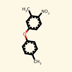 Cc1ccc(Oc2ccc([N+](=O)[O-])c(C)c2)cc1